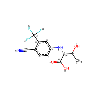 CC(O)[C@@H](Nc1ccc(C#N)c(C(F)(F)F)c1)C(=O)O